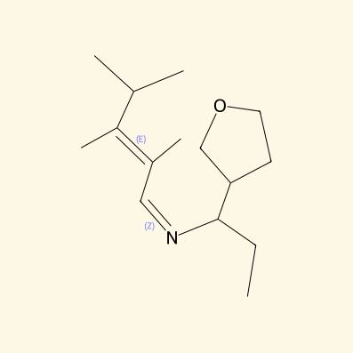 CCC(/N=C\C(C)=C(/C)C(C)C)C1CCOC1